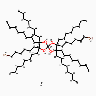 CCCCCCCCC1(CCCCCCS)O[B-]2(OC(CCCCCCS)(CCCCCCCC)C(CCCCCCCC)(CCCCCCCC)O2)OC1(CCCCCCCC)CCCCCCCC.[H+]